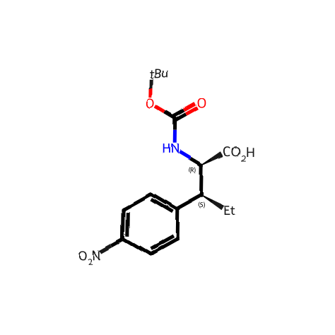 CC[C@@H](c1ccc([N+](=O)[O-])cc1)[C@@H](NC(=O)OC(C)(C)C)C(=O)O